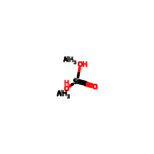 O=[Si](O)O.[AlH3].[AlH3]